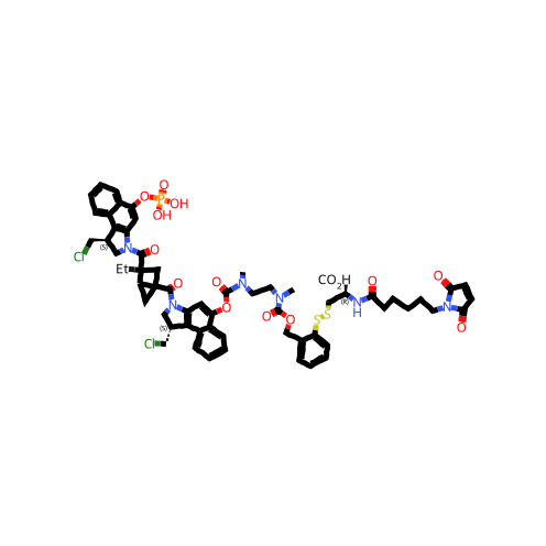 CCC1(C(=O)N2C[C@@H](CCl)c3c2cc(OP(=O)(O)O)c2ccccc32)CC2(C(=O)N3C[C@@H](CCl)c4c3cc(OC(=O)N(C)CCN(C)C(=O)OCc3ccccc3SSC[C@H](NC(=O)CCCCCN3C(=O)C=CC3=O)C(=O)O)c3ccccc43)CC21